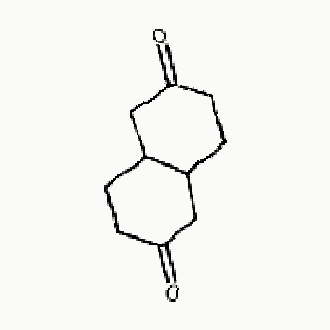 O=C1CCC2CC(=O)CCC2C1